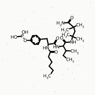 CCCCCC(=O)NC(Cc1ccc(OP(O)O)cc1)C(=O)NC(C(=O)NC(C)(C)CC(C)(C)C(N)=O)C(C)CC